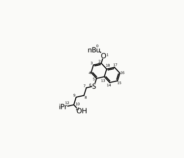 CCCCOc1ccc(SCCCC(O)C(C)C)c2ccccc12